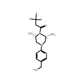 CCc1ccc(N2C[C@@H](C)N(C(=O)CC(F)(F)F)[C@@H](C)C2)nc1